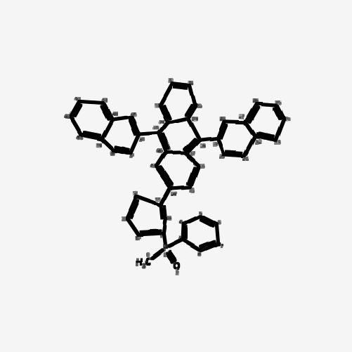 CP(=O)(c1ccccc1)c1cccc(-c2ccc3c(-c4ccc5ccccc5c4)c4ccccc4c(-c4ccc5ccccc5c4)c3c2)c1